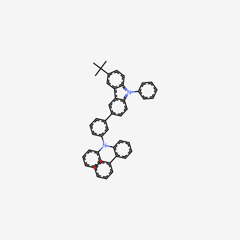 CC(C)(C)c1ccc2c(c1)c1cc(-c3cccc(N(c4ccccc4)c4ccccc4-c4ccccc4)c3)ccc1n2-c1ccccc1